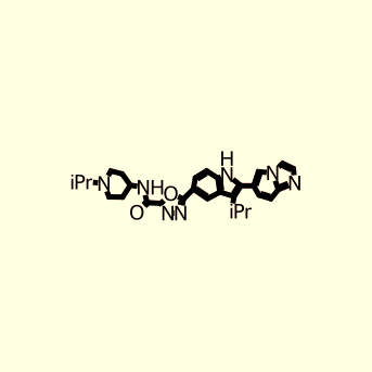 CC(C)c1c(-c2ccc3nccn3c2)[nH]c2ccc(-c3nnc(C(=O)NC4CCN(C(C)C)CC4)o3)cc12